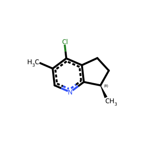 Cc1cnc2c(c1Cl)CC[C@H]2C